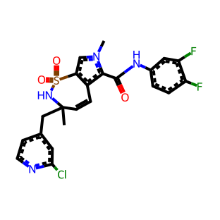 Cn1cc2c(c1C(=O)Nc1ccc(F)c(F)c1)C=CC(C)(Cc1ccnc(Cl)c1)NS2(=O)=O